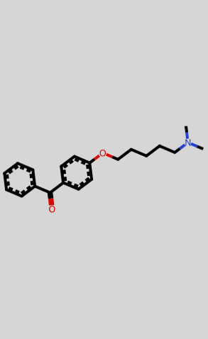 CN(C)CCCCCOc1ccc(C(=O)c2ccccc2)cc1